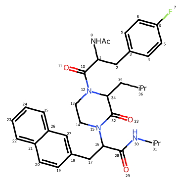 CC(=O)NC(Cc1ccc(F)cc1)C(=O)N1CCN(C(Cc2ccc3ccccc3c2)C(=O)NC(C)C)C(=O)C1CC(C)C